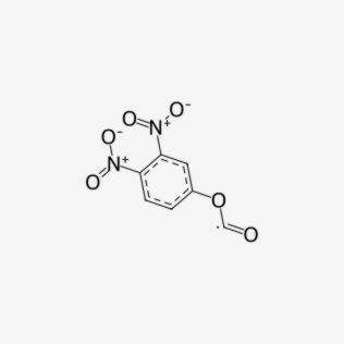 O=[C]Oc1ccc([N+](=O)[O-])c([N+](=O)[O-])c1